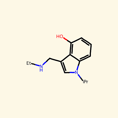 CCNCc1cn(C(C)C)c2cccc(O)c12